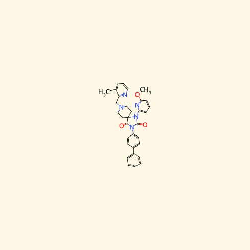 COc1cccc(N2C(=O)N(c3ccc(-c4ccccc4)cc3)C(=O)C23CCN(Cc2ncccc2C)CC3)n1